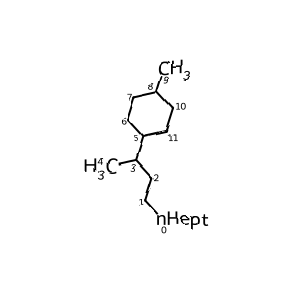 CCCCCCCCCC(C)C1CCC(C)CC1